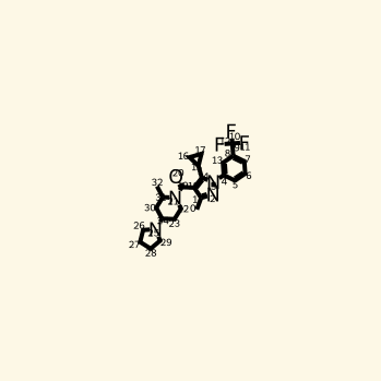 Cc1nn(-c2cccc(C(F)(F)F)c2)c(C2CC2)c1C(=O)N1CCC(N2CCCC2)CC1C